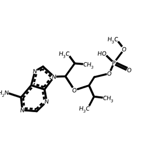 COP(=O)(O)OCC(OC(C(C)C)n1cnc2c(N)ncnc21)C(C)C